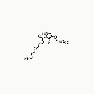 CCCCCCCCCCCOc1c[nH]c(C(=O)OCCOCCOCC)c1F